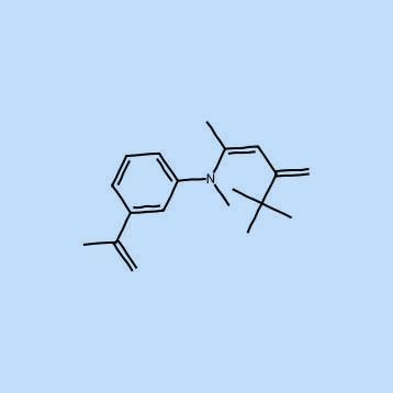 C=C(C)c1cccc(N(C)/C(C)=C\C(=C)C(C)(C)C)c1